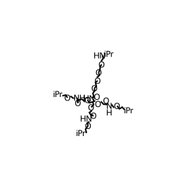 CC(C)CCOCCNC(=O)CCOCC(COCCC(=O)NCCOCCC(C)C)(COCCC(=O)NCCOCCC(C)C)NC(=O)CCOCCOCCOCCOCCNC(C)C